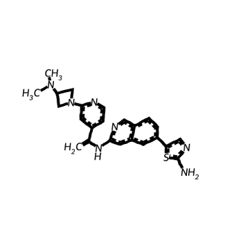 C=C(Nc1cc2cc(-c3cnc(N)s3)ccc2cn1)c1ccnc(N2CC(N(C)C)C2)c1